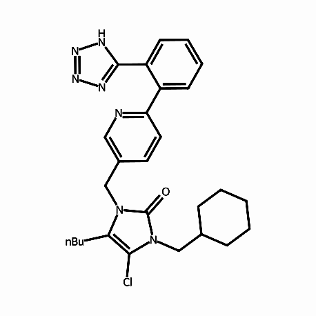 CCCCc1c(Cl)n(CC2CCCCC2)c(=O)n1Cc1ccc(-c2ccccc2-c2nnn[nH]2)nc1